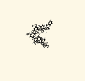 C#C[C@@H](O[C@H]1C[C@H](O[C@H]2[C@@H](O)C[C@H](O[C@H]3[C@@H](O)C[C@H](O[C@H]4CC[C@]5(C)C6CC[C@]7(C)[C@@H](C8=CC(=O)OC8)CC[C@]7(O)[C@@H]6CC[C@@H]5C4)O[C@@H]3C)O[C@@H]2C)O[C@H](C)[C@H]1O)c1ccccc1